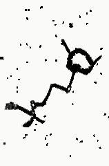 CCCC[Si](C)(C)OCCOc1cc(C)cc(C)c1